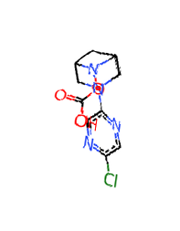 O=C(O)ON1C2CC1CN(c1cnc(Cl)cn1)C2